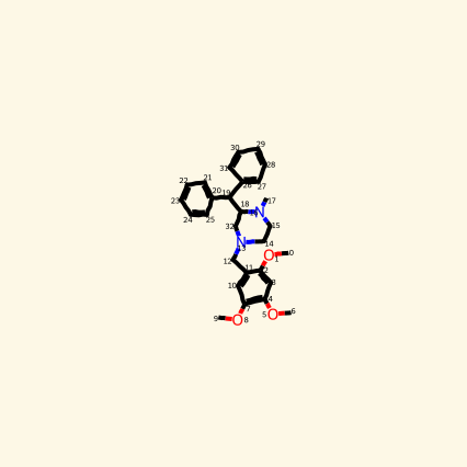 COc1cc(OC)c(OC)cc1CN1CCN(C)C(C(c2ccccc2)c2ccccc2)C1